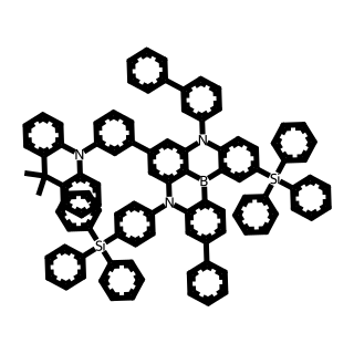 CC1(C)c2ccccc2N(c2cccc(-c3cc4c5c(c3)N(c3ccc([Si](c6ccccc6)(c6ccccc6)c6ccccc6)cc3)c3cc(-c6ccccc6)ccc3B5c3cc([Si](c5ccccc5)(c5ccccc5)c5ccccc5)ccc3N4c3cccc(-c4ccccc4)c3)c2)c2ccccc21